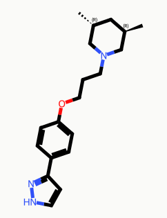 C[C@@H]1C[C@@H](C)CN(CCCOc2ccc(-c3cc[nH]n3)cc2)C1